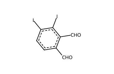 O=Cc1ccc(I)c(I)c1C=O